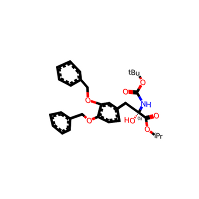 CC(C)OC(=O)[C@@](O)(Cc1ccc(OCc2ccccc2)c(OCc2ccccc2)c1)NC(=O)OC(C)(C)C